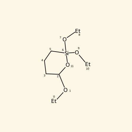 CCOC1CCC[Si](OCC)(OCC)O1